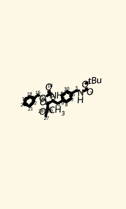 CC(C)(C)OC(=O)NCc1ccc(CC(NC(=O)OCc2ccccc2)C(=O)C2(C)CO2)cc1